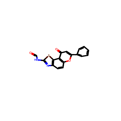 O=CNc1nc2ccc3oc(-c4ccccc4)cc(=O)c3c2s1